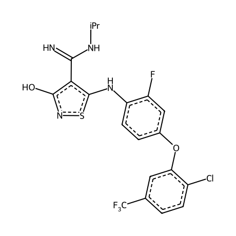 CC(C)NC(=N)c1c(O)nsc1Nc1ccc(Oc2cc(C(F)(F)F)ccc2Cl)cc1F